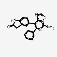 Nc1nc(-c2ccccc2)c(-c2ccc3c(c2)CC(=O)N3)c2ncnn12